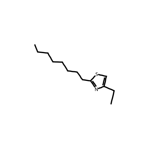 CCCCCCCCc1nc(CC)cs1